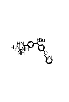 CC(C)(C)C(c1ccc(OCc2ccccn2)cc1)c1ccc(C(=N)NC(=N)N)cc1